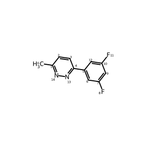 Cc1ccc(-c2cc(F)cc(F)c2)nn1